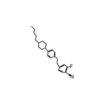 CCCCCC1CCC(c2ccc(CCc3ccc(C#N)c(F)c3)cc2)CC1